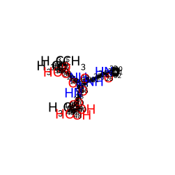 C[C@@H]1[C@H](C)[C@H](C)O[C@@H](OCCNC(=O)CN(CC(=O)NCCCCCC(=O)Nc2ccccc2)CC(=O)NCCO[C@@H]2O[C@@H](C)[C@@H](O)[C@@H](O)[C@@H]2O)[C@H]1O